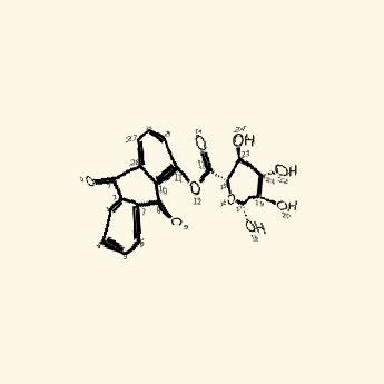 O=C1c2ccccc2C(=O)c2c(OC(=O)[C@H]3O[C@@H](O)[C@H](O)[C@@H](O)[C@@H]3O)cccc21